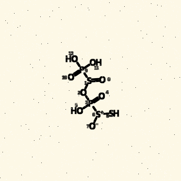 O=S(OP(=O)(O)[S+]([O-])S)P(=O)(O)O